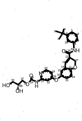 CC(C)(C)c1cccc(NC(=O)C2=Cc3cc(Oc4ccnc(NC(=O)OC[C@@H](O)CO)c4)ccc3OC2)c1